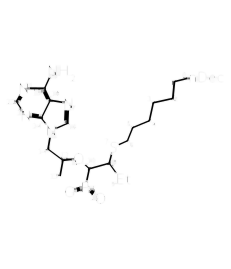 CCCCCCCCCCCCCCCCSC(CC)C(OC(C)Cn1cnc2c(N)ncnc21)P(=O)=O